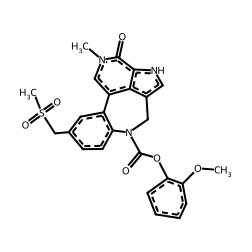 COc1ccccc1OC(=O)N1Cc2c[nH]c3c(=O)n(C)cc(c23)-c2cc(CS(C)(=O)=O)ccc21